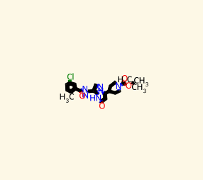 Cc1ccc(Cl)cc1-c1nc(-c2cnn3c(C4CCN(C(=O)OC(C)(C)C)CC4)cc(=O)[nH]c23)no1